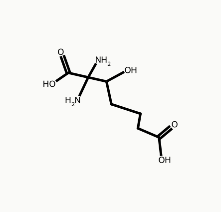 NC(N)(C(=O)O)C(O)CCCC(=O)O